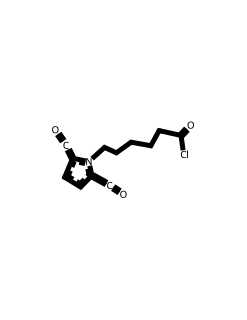 O=C=c1ccc(=C=O)n1CCCCCC(=O)Cl